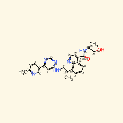 Cc1ccc(-c2cc(NC[C@@H](C)c3cccc4c(C(=O)NC(C)CO)ccnc34)ncn2)cn1